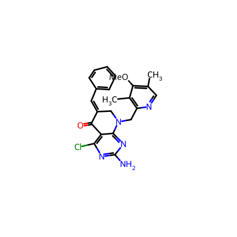 COc1c(C)cnc(CN2CC(=Cc3ccccc3)C(=O)c3c(Cl)nc(N)nc32)c1C